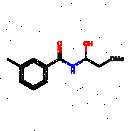 COCC(O)NC(=O)c1cccc(C)c1